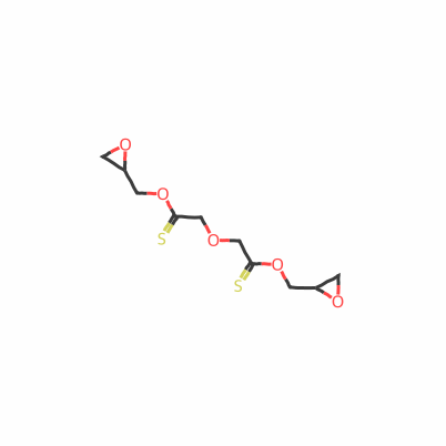 S=C(COCC(=S)OCC1CO1)OCC1CO1